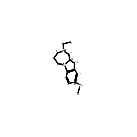 CCN1CCCN2c3ccc(OC)cc3CC2C1